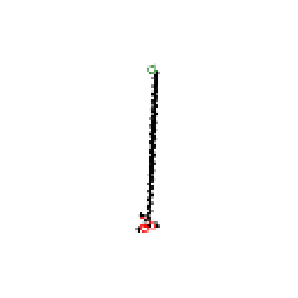 CCO[Si](CCCCCCCCCCCCCCCCCCCCCCCCCCCCCCCCCCCCCCl)(OCC)OCC